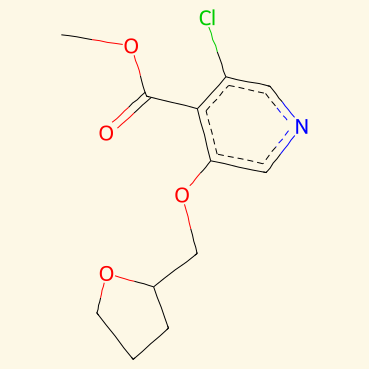 COC(=O)c1c(Cl)cncc1OCC1CCCO1